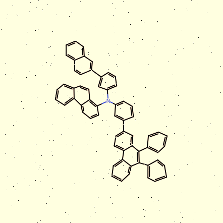 c1ccc(-c2c(-c3ccccc3)c3cc(-c4cccc(N(c5cccc(-c6ccc7ccccc7c6)c5)c5cccc6c5ccc5ccccc56)c4)ccc3c3ccccc23)cc1